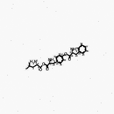 CC(C)C[C@H](N)C(=O)OC(=O)[C@@H](N)Cc1ccc(OC(=O)[C@@H](N)Cc2ccccc2)cc1